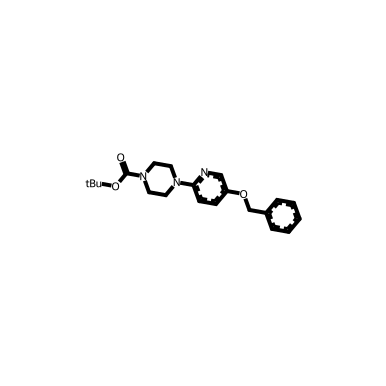 CC(C)(C)OC(=O)N1CCN(c2ccc(OCc3ccccc3)cn2)CC1